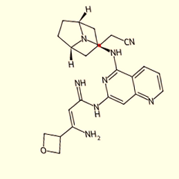 N#CCCN1[C@@H]2CC[C@H]1C[C@H](Nc1nc(NC(=N)/C=C(\N)C3COC3)cc3ncccc13)C2